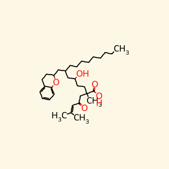 CCCCCCCCCC(CC(O)CCC(C)(CC(=O)C=C(C)C)C(=O)O)CC1CCc2ccccc2O1